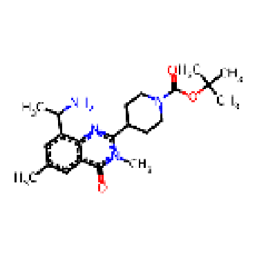 Cc1cc(C(C)N)c2nc(C3CCN(C(=O)OC(C)(C)C)CC3)n(C)c(=O)c2c1